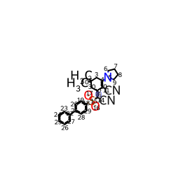 CC1(C)CC(N2CCCC2)=C(C#N)/C(=C(\C#N)S(=O)(=O)c2ccc(-c3ccccc3)cc2)C1